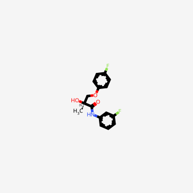 C[C@](O)(COc1ccc(F)cc1)C(=O)Nc1cccc(F)c1